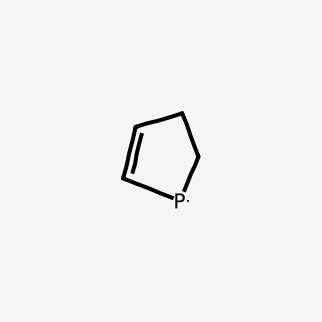 C1=C[P]CC1